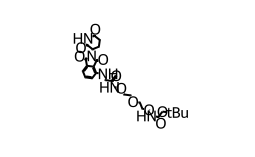 CC(C)(C)OC(=O)NOCCOCCONC(=O)CNc1cccc2c1C(=O)N(C1CCC(=O)NC1=O)C2=O